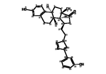 C[C@]12CC[C@@H]3c4ccc(O)cc4CC[C@H]3[C@@H]1[C@H](CCn1cc(-c3cccc(O)c3)nn1)CC2=O